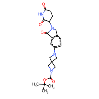 CC(C)(C)OC(=O)N1CC2(C1)CN(c1ccc3c(c1)C(=O)N(C1CCC(=O)NC1=O)C3)C2